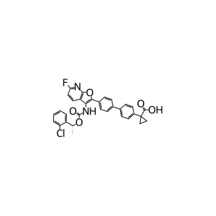 C[C@@H](OC(=O)Nc1c(-c2ccc(-c3ccc(C4(C(=O)O)CC4)cc3)cc2)oc2nc(F)ccc12)c1ccccc1Cl